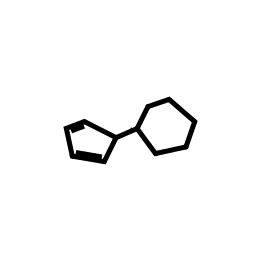 C1=CC([C]2CCCCC2)C=C1